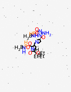 BNPOC(=O)/N=C(/N)NC(=O)[C@H]1CCN(CC2=C(C(=O)OPNB)N3C(=O)C([C@@H](C)O[Si](CC)(CC)CC)[C@H]3[C@H]2C)C1